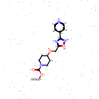 CCCCCCOC(=O)N1CCC(OCc2nc(-c3ccncc3)no2)CC1